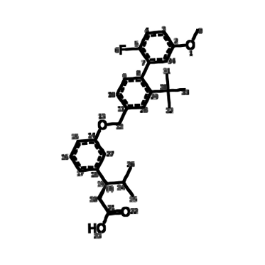 COc1ccc(F)c(-c2ccc(COc3cccc([C@H](CC(=O)O)C(C)C)c3)cc2C(C)(C)C)c1